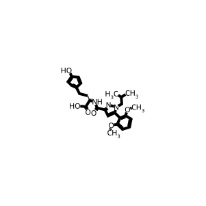 COc1cccc(OC)c1-c1cc(C(=O)N[C@@H](CCc2ccc(O)cc2)C(=O)O)nn1CC(C)C